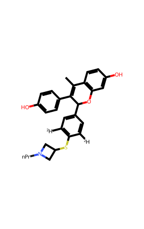 [2H]c1cc(C2Oc3cc(O)ccc3C(C)=C2c2ccc(O)cc2)cc([2H])c1SC1CN(CCC)C1